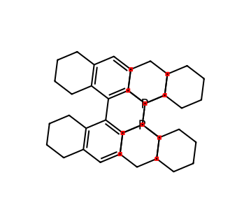 c1cc(P(C2CCCCC2)C2CCCCC2)c(-c2c(P(C3CCCCC3)C3CCCCC3)ccc3c2CCCC3)c2c1CCCC2